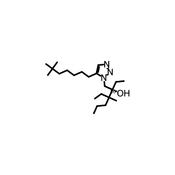 CCCC(C)(CC)[C@@](O)(CC)Cn1nncc1CCCCCC(C)(C)C